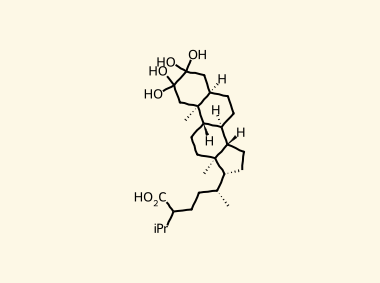 CC(C)C(CC[C@@H](C)[C@H]1CC[C@H]2[C@@H]3CC[C@@H]4CC(O)(O)C(O)(O)C[C@]4(C)[C@H]3CC[C@]12C)C(=O)O